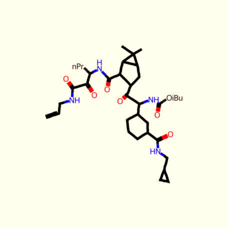 C=CCNC(=O)C(=O)C(CCC)NC(=O)C1C(C(=O)C(NC(=O)OCC(C)C)C2CCCC(C(=O)NCC3CC3)C2)CC2C1C2(C)C